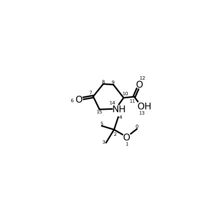 COC(C)(C)C.O=C1CCC(C(=O)O)NC1